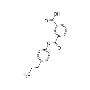 CCCc1ccc(OC(=O)c2cccc(C(=O)O)c2)cc1